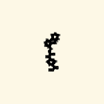 O=C(Nc1ccc(C(=O)O)cc1)OCc1cccc2c1Cc1ccccc1-2